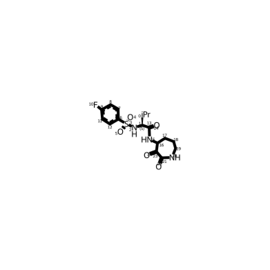 CC(C)[C@H](NS(=O)(=O)c1ccc(F)cc1)C(=O)NC1CCCNC(=O)C1=O